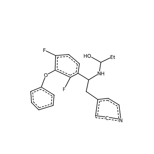 CCC(O)NC(Cc1ccncc1)c1ccc(F)c(Oc2ccccc2)c1F